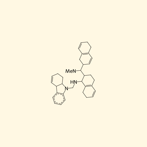 CNC(C1C=CC2=C(C=CCC2)C1)C1CCC2=C(CCC=C2)C1NCN1c2ccccc2C2C=CCCC21